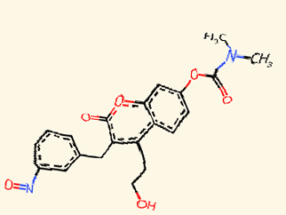 CN(C)C(=O)Oc1ccc2c(CCO)c(Cc3cccc(N=O)c3)c(=O)oc2c1